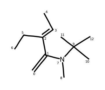 C=C(/C(=C/C)CC)N(C)C(C)(C)C